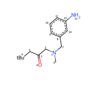 CN(CC(=O)CC(C)(C)C)Cc1cccc(N)c1